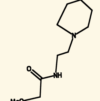 COCC(=O)NCCN1CCCCC1